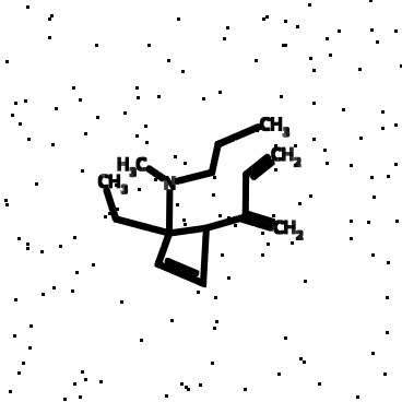 C=CC(=C)C1C=CC1(CC)N(C)CCC